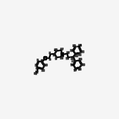 Fc1ccc(OCCC2CCN(CCC(c3ccccc3)c3ccccc3)CC2)cc1